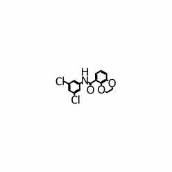 O=C(Nc1cc(Cl)cc(Cl)c1)c1cccc2c1OCCO2